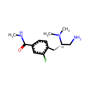 CNC(=O)c1ccc(C[C@@H](CN)N(C)C)c(F)c1